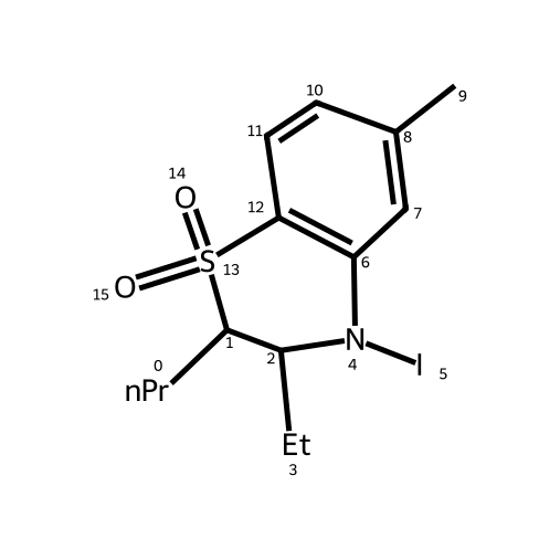 CCCC1C(CC)N(I)c2cc(C)ccc2S1(=O)=O